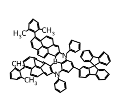 Cc1cccc(C)c1-c1ccc2ccc3c4c(cc5ccc1c2c53)N(c1ccccc1)c1cc(-c2ccc3c(c2)C2(c5ccccc5-c5ccccc52)c2ccccc2-3)cc2c1B4c1c(cc3ccc4c(-c5c(C)cccc5C)ccc5ccc1c3c54)N2c1ccccc1